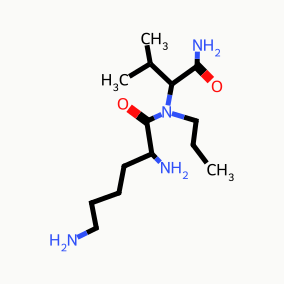 CCCN(C(=O)C(N)CCCCN)C(C(N)=O)C(C)C